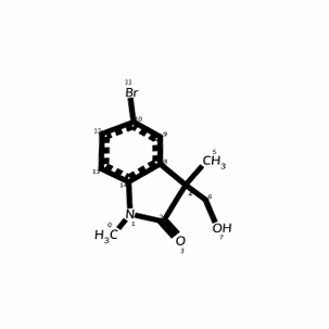 CN1C(=O)C(C)(CO)c2cc(Br)ccc21